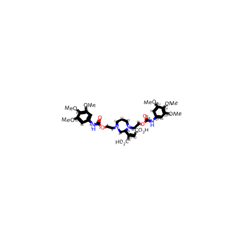 COc1cc(NC(=O)OCCN2CCCN(CCOC(=O)Nc3cc(OC)c(OC)c(OC)c3)C(/C(=C\C(=O)O)C(=O)O)C2)cc(OC)c1OC